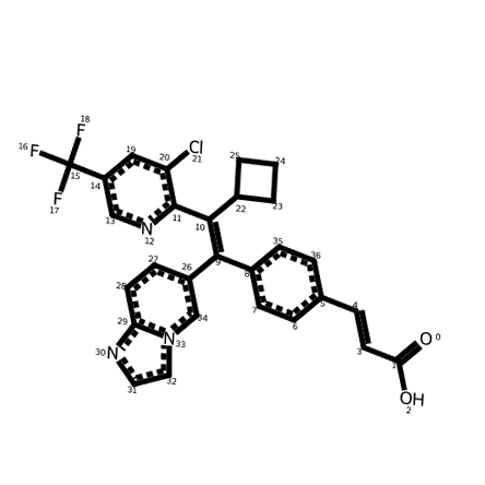 O=C(O)C=Cc1ccc(C(=C(c2ncc(C(F)(F)F)cc2Cl)C2CCC2)c2ccc3nccn3c2)cc1